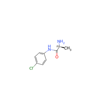 C[C@H](N)C(=O)Nc1ccc(Cl)cc1